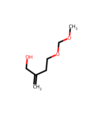 C=C(CO)CCOCOC